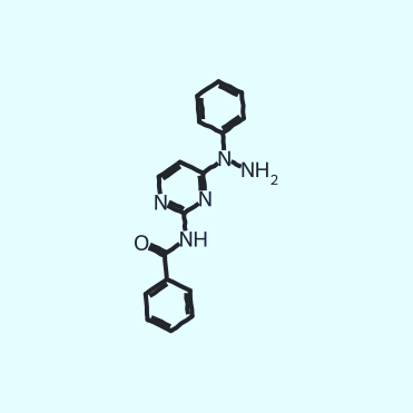 NN(c1ccccc1)c1ccnc(NC(=O)c2ccccc2)n1